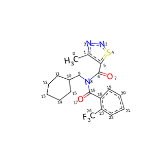 Cc1nnsc1C(=O)N(CC1CCCCC1)C(=O)c1ccccc1C(F)(F)F